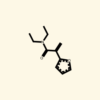 C=C(C(=O)N(CC)CC)c1ccco1